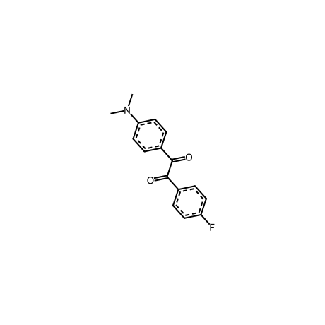 CN(C)c1ccc(C(=O)C(=O)c2ccc(F)cc2)cc1